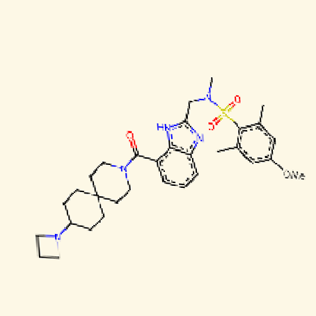 COc1cc(C)c(S(=O)(=O)N(C)Cc2nc3cccc(C(=O)N4CCC5(CCC(N6CCC6)CC5)CC4)c3[nH]2)c(C)c1